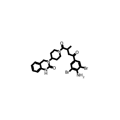 CC(CC(=O)c1cc(Br)c(N)c(Br)c1)C(=O)N1CCC(N2Cc3ccccc3NC2=O)CC1